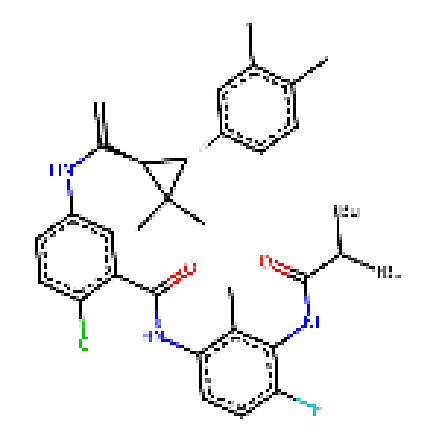 C=C(Nc1ccc(Cl)c(C(=O)Nc2ccc(F)c(NC(=O)C(C(C)(C)C)C(C)(C)C)c2C)c1)[C@H]1[C@H](c2ccc(C)c(C)c2)C1(C)C